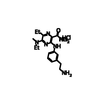 CCc1nc(C(N)=O)c(Nc2cccc(CCN)c2)nc1N(C)CC.Cl.Cl